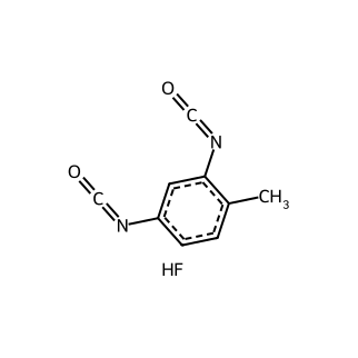 Cc1ccc(N=C=O)cc1N=C=O.F